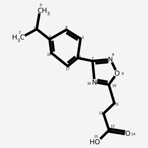 CC(C)c1ccc(-c2noc(CCC(=O)O)n2)cc1